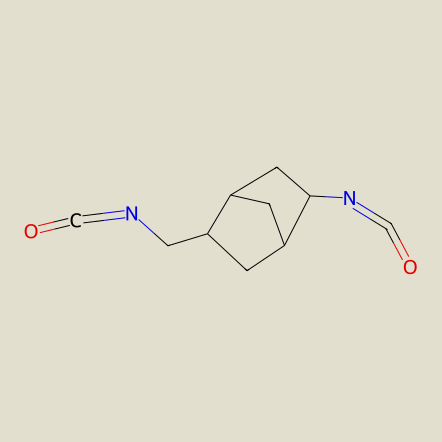 O=C=NCC1CC2CC1CC2N=C=O